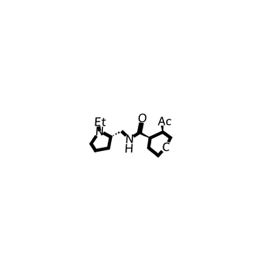 CCN1CCC[C@H]1CNC(=O)[C@@H]1CCCC[C@@H]1C(C)=O